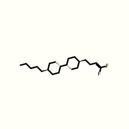 CCCCC[C@H]1CC[C@H]([C@H]2CC[C@H](CCC=C(F)F)CC2)CC1